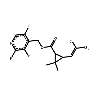 CC1(C)C(C=C(Cl)C(F)(F)F)C1C(=O)OCc1c(F)cnc(F)c1F